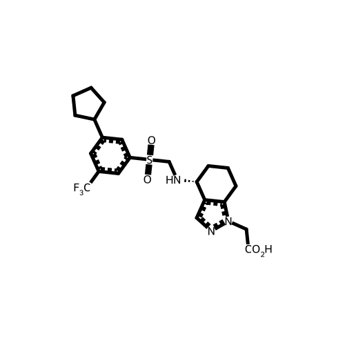 O=C(O)Cn1ncc2c1CCC[C@H]2NCS(=O)(=O)c1cc(C2CCCC2)cc(C(F)(F)F)c1